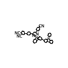 N#Cc1ccc(-c2cc(-c3ccc(-c4ccc(C#N)c(C#N)c4)cc3)nc(-n3c4ccccc4c4cc(-c5ccc6c7ccccc7n(-c7ccccc7)c6c5)ccc43)n2)cc1